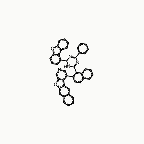 c1ccc(C2=NC(c3cccc4oc5ccccc5c34)NC(c3c(-c4cncc5oc6cc7ccccc7cc6c45)ccc4ccccc34)=N2)cc1